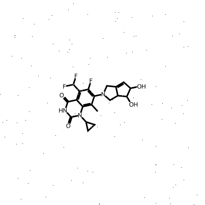 Cc1c(N2CC3=CC(O)C(O)C3C2)c(F)c(C(F)F)c2c(=O)[nH]c(=O)n(C3CC3)c12